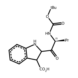 CC(C)[C@H](NC(=O)OC(C)(C)C)C(=O)C1Nc2ccccc2C1C(=O)O